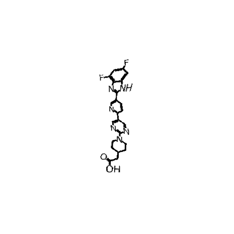 O=C(O)CC1CCN(c2ncc(-c3ccc(-c4nc5c(F)cc(F)cc5[nH]4)cn3)cn2)CC1